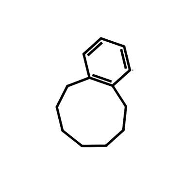 [c]1cccc2c1CCCCCCC2